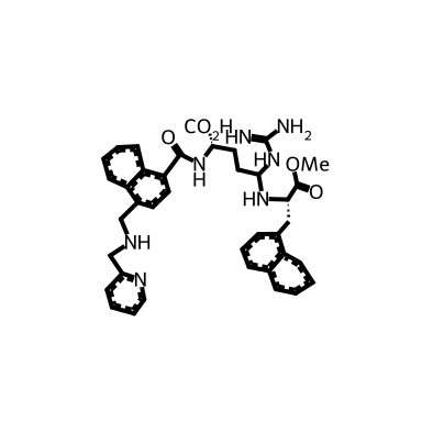 COC(=O)[C@H](Cc1cccc2ccccc12)NC(CC[C@H](NC(=O)c1ccc(CNCc2ccccn2)c2ccccc12)C(=O)O)NC(=N)N